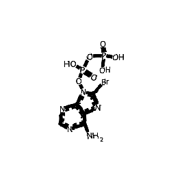 Nc1ncnc2c1nc(Br)n2OP(=O)(O)OP(=O)(O)O